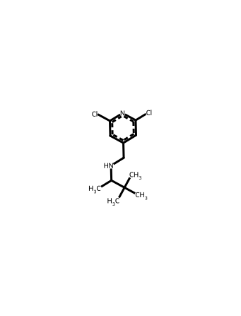 CC(NCc1cc(Cl)nc(Cl)c1)C(C)(C)C